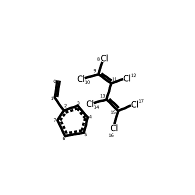 C=Cc1ccccc1.ClC(Cl)=C(Cl)C(Cl)=C(Cl)Cl